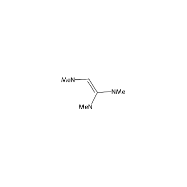 CNC=C(NC)NC